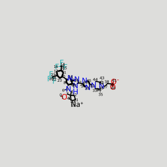 COCC1(CN(C)c2cc(-c3cc(C(F)(F)F)cc(C(F)(F)F)c3)nc3nc(-c4cnc(N5C[C@@H](C)N(CCC(=O)[O-])[C@@H](C)C5)cn4)[nH]c23)CCCC1.[Na+]